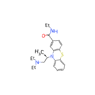 CCNC(=O)c1ccc2c(c1)N([C@H](C)CN(CC)CC)c1ccccc1S2